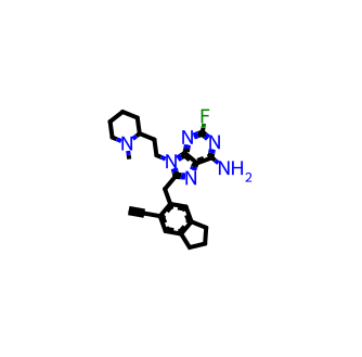 C#Cc1cc2c(cc1Cc1nc3c(N)nc(F)nc3n1CCC1CCCCN1C)CCC2